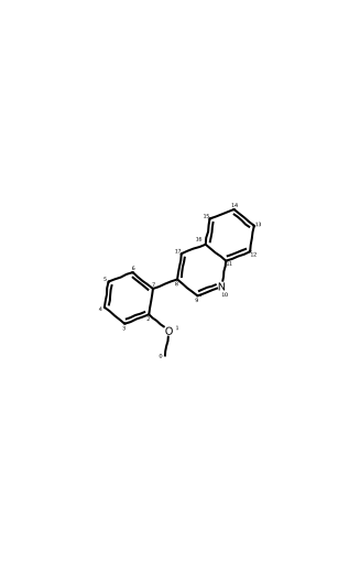 COc1ccccc1-c1[c]nc2ccccc2c1